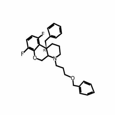 Fc1ccc(F)c2c1OCC1N(CCCOCc3ccccc3)CCC[C@@]21Cc1ccccc1